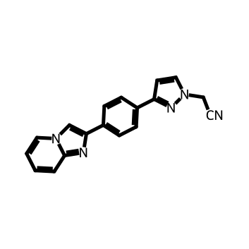 N#CCn1ccc(-c2ccc(-c3cn4ccccc4n3)cc2)n1